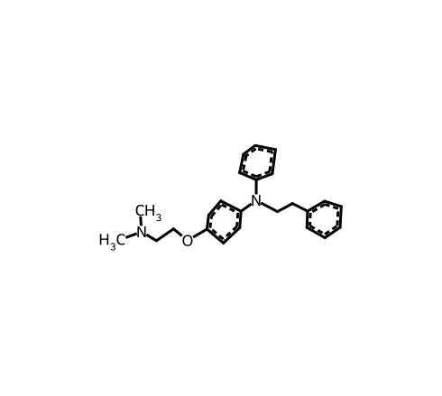 CN(C)CCOc1ccc(N(CCc2ccccc2)c2ccccc2)cc1